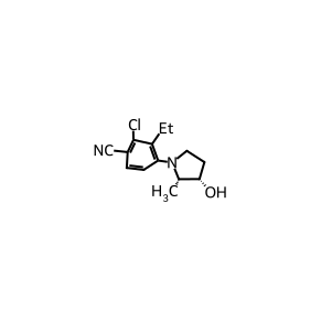 CCc1c(N2CC[C@H](O)[C@@H]2C)ccc(C#N)c1Cl